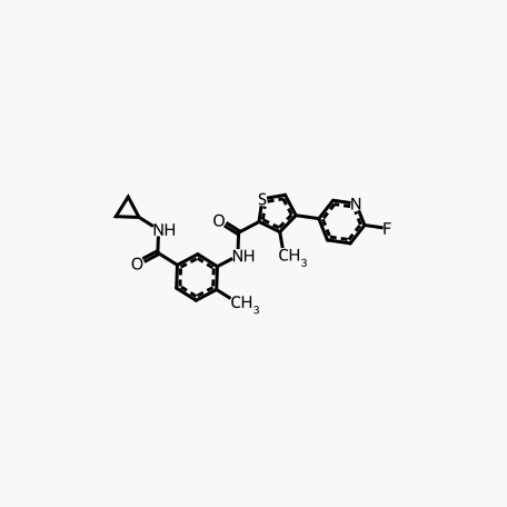 Cc1ccc(C(=O)NC2CC2)cc1NC(=O)c1scc(-c2ccc(F)nc2)c1C